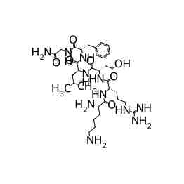 CC(C)C[C@H](NC(=O)[C@H](CCO)NC(=O)[C@H](CCCNC(=N)N)NC(=O)[C@@H](N)CCCCN)C(=O)N[C@@H](Cc1ccccc1)C(=O)NCC(N)=O